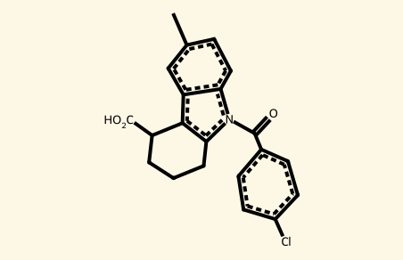 Cc1ccc2c(c1)c1c(n2C(=O)c2ccc(Cl)cc2)CCCC1C(=O)O